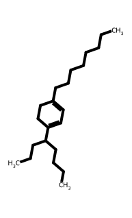 CCCCCCCCC1=CC=C(C(CCC)CCCC)CC1